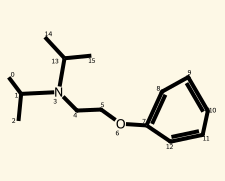 CC(C)N(CCOc1cc[c]cc1)C(C)C